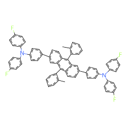 Cc1ccccc1-c1c2ccc(-c3ccc(N(c4ccc(F)cc4)c4ccc(F)cc4)cc3)cc2c(-c2ccccc2C)c2ccc(-c3ccc(N(c4ccc(F)cc4)c4ccc(F)cc4)cc3)cc12